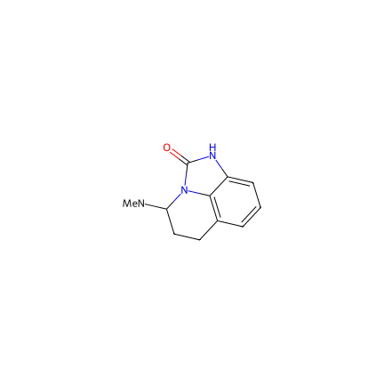 CNC1CCc2cccc3[nH]c(=O)n1c23